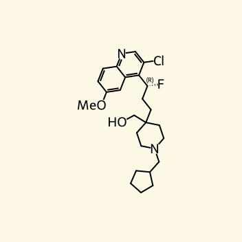 COc1ccc2ncc(Cl)c([C@H](F)CCC3(CO)CCN(CC4CCCC4)CC3)c2c1